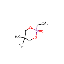 CCP1(=O)OCC(C)(C)CO1